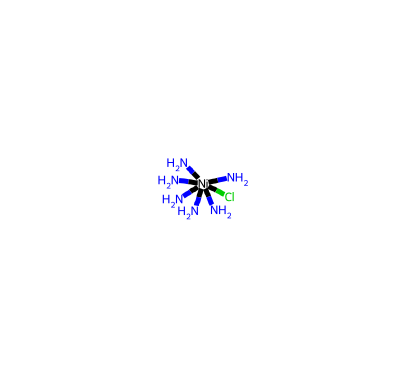 [NH2][Ni]([NH2])([NH2])([NH2])([NH2])([NH2])[Cl]